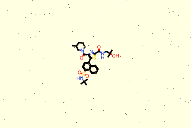 CC1CCCN(C(=O)c2nc(C(=O)NCC(C)(C)O)sc2-c2ccc(S(=O)(=O)NC(C)(C)C)c3ccccc23)C1